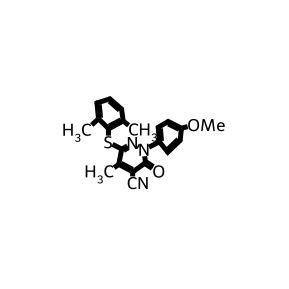 COc1ccc(-n2nc(Sc3c(C)cccc3C)c(C)c(C#N)c2=O)cc1